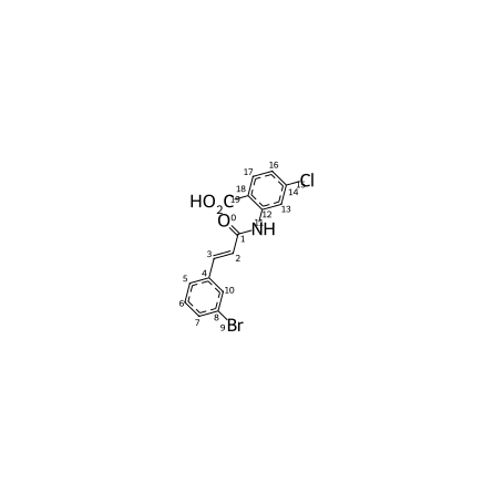 O=C(/C=C/c1cccc(Br)c1)Nc1cc(Cl)ccc1C(=O)O